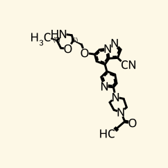 C#CC(=O)N1CCN(c2ccc(-c3cc(OC[C@@H]4CN[C@H](C)CO4)cn4ncc(C#N)c34)cn2)CC1